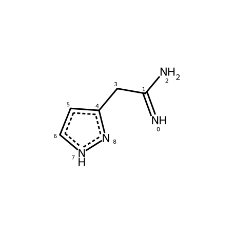 N=C(N)Cc1cc[nH]n1